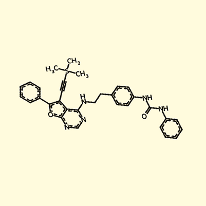 CS(C)(C)C#Cc1c(-c2ccccc2)oc2ncnc(NCCc3ccc(NC(=O)Nc4ccccc4)cc3)c12